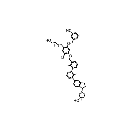 Cc1c(COc2cc(OCc3cncc(C#N)c3)c(CNCCO)cc2Cl)cccc1-c1cccc(-c2ccc3c(c2)CCC3N2CC[C@H](O)C2)c1C